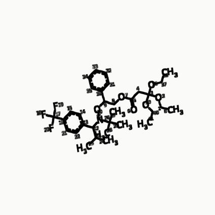 CCOC(CC(=O)OCC(ON(C(c1ccc(C(F)(F)F)cc1)C(C)C)C(C)(C)C)c1ccccc1)(OCC)OCC